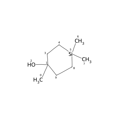 CC1(O)CC[Si](C)(C)CC1